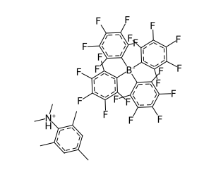 Cc1cc(C)c([NH+](C)C)c(C)c1.Fc1c(F)c(F)c([B-](c2c(F)c(F)c(F)c(F)c2F)(c2c(F)c(F)c(F)c(F)c2F)c2c(F)c(F)c(F)c(F)c2F)c(F)c1F